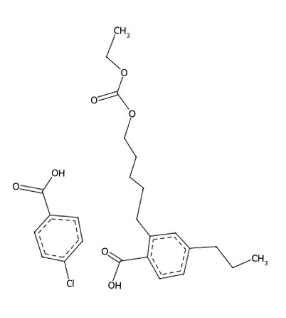 CCCc1ccc(C(=O)O)c(CCCCCOC(=O)OCC)c1.O=C(O)c1ccc(Cl)cc1